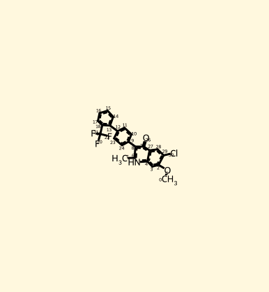 COc1cc2[nH]c(C)c(-c3ccc(-c4ccccc4C(F)(F)F)cc3)c(=O)c2cc1Cl